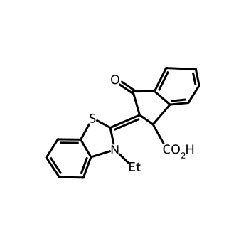 CCN1/C(=C2/C(=O)c3ccccc3C2C(=O)O)Sc2ccccc21